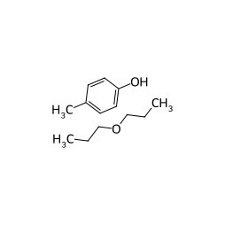 CCCOCCC.Cc1ccc(O)cc1